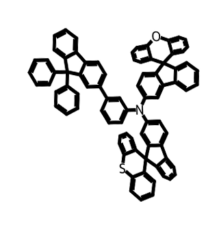 c1ccc(C2(c3ccccc3)c3ccccc3-c3ccc(-c4cccc(N(c5ccc6c(c5)-c5ccccc5C65c6ccccc6Oc6ccccc65)c5ccc6c(c5)C5(c7ccccc7Sc7ccccc75)c5ccccc5-6)c4)cc32)cc1